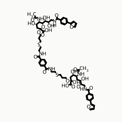 CC(=O)N[C@H]1[C@H]([C@H](O)[C@H](O)CNC(=O)c2ccc(-c3ccco3)cc2)O[C@@](OCCCSCCNC(=O)c2ccc(C(=O)NCCSCCCO[C@]3(C(=O)O)C[C@H](O)[C@@H](NC(C)=O)[C@H]([C@H](O)[C@H](O)CNC(=O)c4ccc(-c5ccco5)cc4)O3)cc2)(C(=O)O)C[C@@H]1O